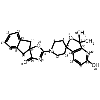 CC1(C)OC2(CCN(C3=NC(=O)C4(Cc5ccccc5C4)O3)CC2)c2ccc(O)nc21